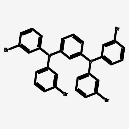 Brc1cccc(N(c2cccc(Br)c2)c2cccc(N(c3cccc(Br)c3)c3cccc(Br)c3)c2)c1